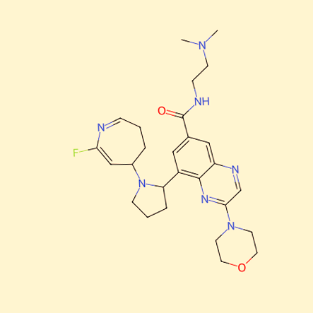 CN(C)CCNC(=O)c1cc(C2CCCN2C2C=C(F)N=CCC2)c2nc(N3CCOCC3)cnc2c1